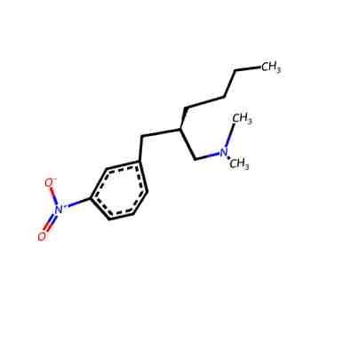 CCCC[C@H](Cc1cccc([N+](=O)[O-])c1)CN(C)C